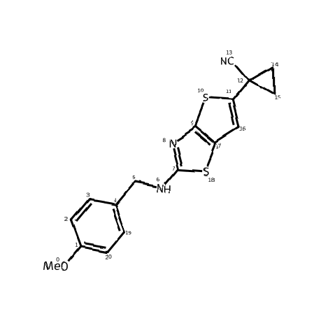 COc1ccc(CNc2nc3sc(C4(C#N)CC4)cc3s2)cc1